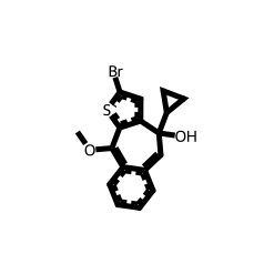 COC1=c2ccccc2=CC(O)(C2CC2)c2cc(Br)sc21